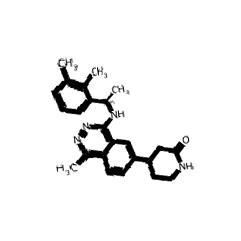 Cc1cccc([C@@H](C)Nc2nnc(C)c3ccc(C4CCNC(=O)C4)cc23)c1C